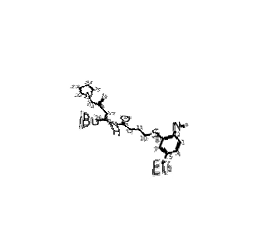 C=Nc1ccc(CC)cc1SCCCC(=O)NC(CC(=C)CN1CCCC1)C(C)CC